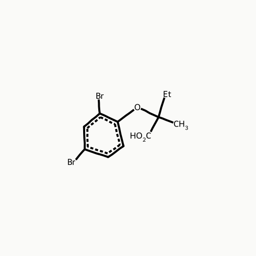 CCC(C)(Oc1ccc(Br)cc1Br)C(=O)O